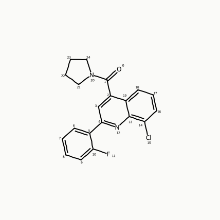 O=C(c1cc(-c2ccccc2F)nc2c(Cl)cccc12)N1CCCC1